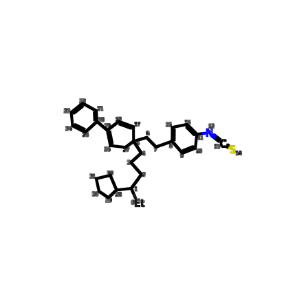 CCC(CCCC1(CCc2ccc(N=C=S)cc2)C=CC(c2ccccc2)=CC1)C1CCCC1